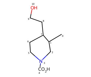 CC1CN(C(=O)O)CCC1CCO